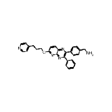 NCc1ccc(-c2nc3ccc(OCCCc4ccncc4)nc3nc2-c2ccccc2)cc1